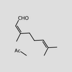 CC(C)=CCC/C(C)=C\C=O.CC(C)=O